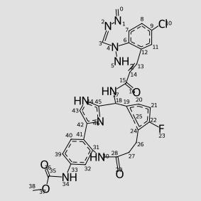 C=N/N=C\N(N)c1ccc(Cl)cc1/C=C/C(=O)NC1c2ccc(F)c(c2)CCC(=O)Nc2cc(NC(=O)OC)ccc2-c2c[nH]c1n2